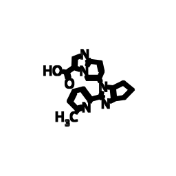 Cc1cccc(-c2nc3c(n2-c2ccc4ncc(C(=O)O)n4c2)CCC3)n1